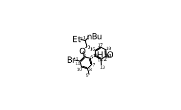 CCCCC(CC)COc1ccc(C)cc1Br.Cc1ccccc1.O